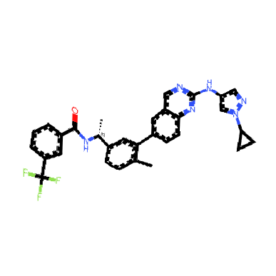 Cc1ccc([C@@H](C)NC(=O)c2cccc(C(F)(F)F)c2)cc1-c1ccc2nc(Nc3cnn(C4CC4)c3)ncc2c1